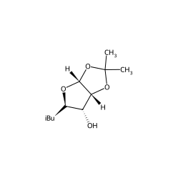 CC[C@H](C)[C@H]1O[C@@H]2OC(C)(C)O[C@@H]2[C@@H]1O